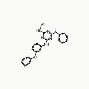 CC(C)Nc1nc(Nc2ccccc2)nc(Nc2cccc(Oc3ccccc3)c2)n1